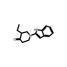 CCC1CN(c2cc3ccccc3[nH]2)CCC1=O